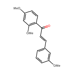 COc1cccc(/C=C/C(=O)c2ccc(OC)cc2OC)c1